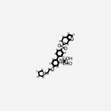 Cl.O=CNO.O=S(=O)(c1ccc(-c2ccc(OCCN3CCCC3)cc2)cc1)N1CCc2ccoc2C1